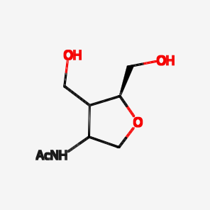 CC(=O)NC1CO[C@H](CO)C1CO